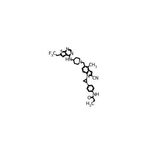 C=CC(=O)Nc1ccc([C@H]2C[C@H]2n2c(C#N)cc3c(C)c(CN4CCC(Nc5ncnc6sc(CC(F)(F)F)cc56)CC4)ccc32)cc1